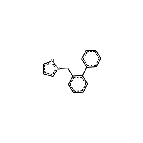 [c]1cnn(Cc2ccccc2-c2ccccc2)c1